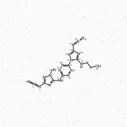 CCCn1nc(N=[N+]=[N-])nc1Nc1nnc(-n2nc(N=[N+]=[N-])nc2NCCO)nn1